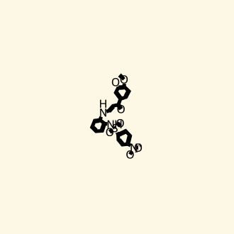 O=C(C=CNc1ccccc1NS(=O)(=O)c1ccc([N+](=O)[O-])cc1)c1ccc2c(c1)OCO2